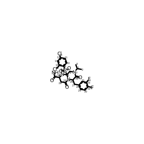 CC(C)N1CC2(S(=O)(=O)c3ccc(Cl)cc3Cl)NC(C(N)=O)[C]C(=O)N2C(Cc2ccc(F)c(F)c2)C1=O